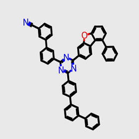 N#Cc1cccc(-c2cccc(-c3nc(-c4ccc(-c5cccc(-c6ccccc6)c5)cc4)nc(-c4ccc5c(c4)oc4cccc(-c6ccccc6)c45)n3)c2)c1